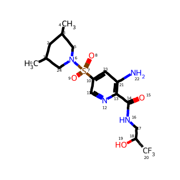 CC1CC(C)CN(S(=O)(=O)c2cnc(C(=O)NCC(O)C(F)(F)F)c(N)c2)C1